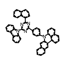 c1ccc2cc3c(cc2c1)-c1cccc2cccc(c12)N3c1ccc(-c2nc(-c3cccc4ccccc34)nc(-n3c4ccccc4c4ccccc43)n2)cc1